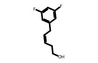 OCC/C=C\Cc1cc(F)cc(F)c1